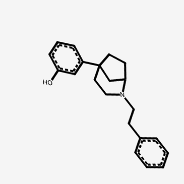 Oc1cccc(C23CCC(C2)N(CCc2ccccc2)CC3)c1